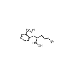 CC(C)CCCC(Cc1ccncc1C(=O)O)NO